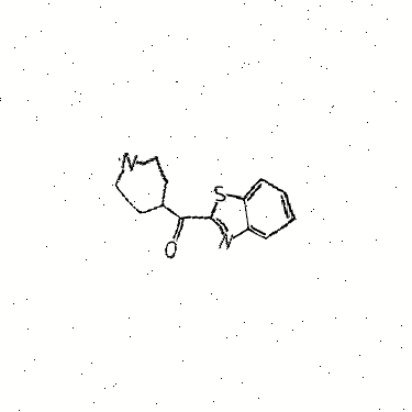 O=C(c1nc2ccccc2s1)C1CC[N]CC1